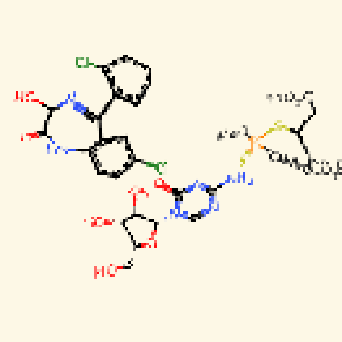 CCOC(=O)CC(SP(=S)(OC)OC)C(=O)OCC.Nc1ncn([C@@H]2O[C@H](CO)[C@@H](O)[C@H]2O)c(=O)n1.O=C1Nc2ccc(Cl)cc2C(c2ccccc2Cl)=NC1O